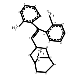 Cc1ccccc1C(=CC1CC2CCCC(C1)N2C)c1ccccc1C